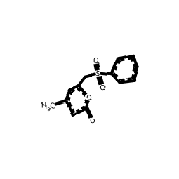 Cc1cc(CS(=O)(=O)c2ccccc2)oc(=O)c1